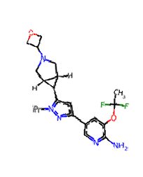 CC(C)n1nc(-c2cnc(N)c(OC(C)(F)F)c2)cc1[C@H]1[C@@H]2CN(C3COC3)C[C@@H]21